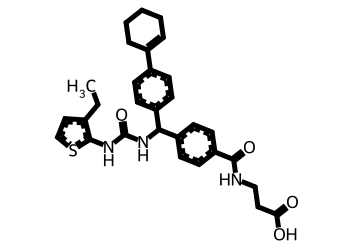 CCc1ccsc1NC(=O)NC(c1ccc(C(=O)NCCC(=O)O)cc1)c1ccc(C2=CCCCC2)cc1